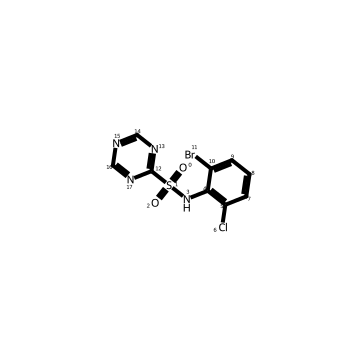 O=S(=O)(Nc1c(Cl)cccc1Br)c1ncncn1